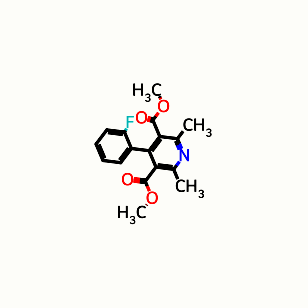 COC(=O)c1c(C)nc(C)c(C(=O)OC)c1-c1ccccc1F